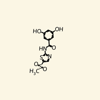 CS(=O)(=O)c1cnc(NC(=O)c2cc(O)cc(O)c2)s1